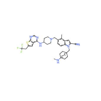 CNC12CCC(Cn3c(C#N)cc4c(C)c(CN5CCC(Nc6ncnc7sc(CC(F)(F)F)cc67)CC5)ccc43)(CC1)CC2